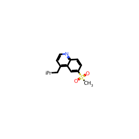 CC(C)Cc1ccnc2ccc(S(C)(=O)=O)cc12